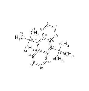 CC(C)(C)c1c2ccccc2c(C(C)(C)C)c2ccccc12